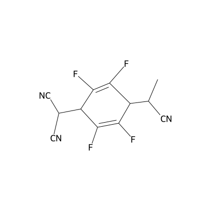 CC(C#N)C1C(F)=C(F)C(C(C#N)C#N)C(F)=C1F